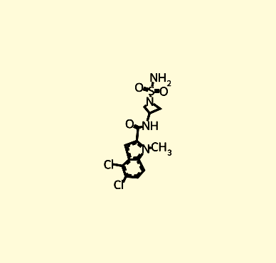 Cn1c(C(=O)NC2CN(S(N)(=O)=O)C2)cc2c(Cl)c(Cl)ccc21